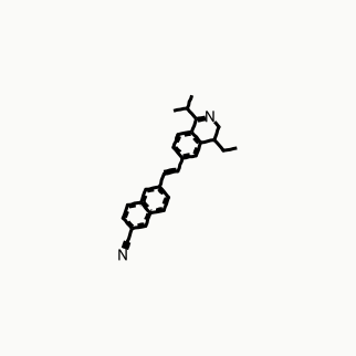 CCC1CN=C(C(C)C)c2ccc(C=Cc3ccc4cc(C#N)ccc4c3)cc21